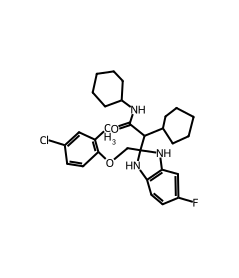 Cc1cc(Cl)ccc1OCC1(C(C(=O)NC2CCCCC2)C2CCCCC2)Nc2ccc(F)cc2N1